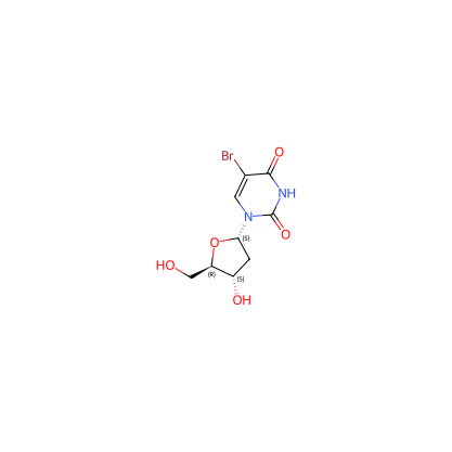 O=c1[nH]c(=O)n([C@@H]2C[C@H](O)[C@@H](CO)O2)cc1Br